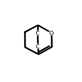 C1=C2CCC(CC2)O1